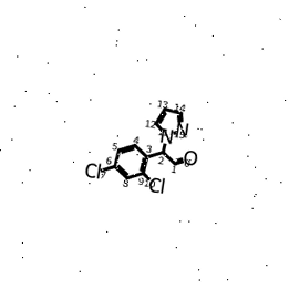 O=CC(c1ccc(Cl)cc1Cl)n1cccn1